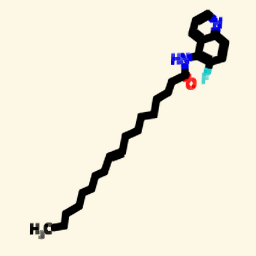 CCCCCCCCC=CCCCCCCCC(=O)Nc1c(F)ccc2ncccc12